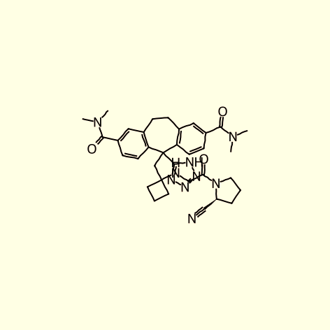 CN(C)C(=O)c1ccc2c(c1)CCc1cc(C(=O)N(C)C)ccc1C2(CC1(NCC(=O)N2CCC[C@H]2C#N)CCC1)c1nnn[nH]1